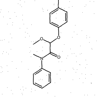 COC(Oc1ccc(C)cc1)C(=O)N(C)c1ccccc1